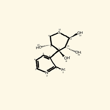 CC(=O)c1ncccc1[C@]1(O)[C@H](O)CS[C@@H](O)[C@@H]1O